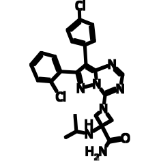 CC(C)NC1(C(N)=O)CN(c2ncnc3c(-c4ccc(Cl)cc4)c(-c4ccccc4Cl)nn23)C1